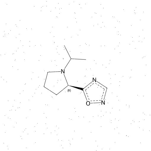 CC(C)N1CCC[C@@H]1c1ncno1